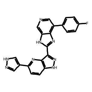 Fc1ccc(-c2cncc3[nH]c(-c4n[nH]c5ccc(-c6cn[nH]c6)nc45)nc23)cc1